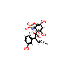 CCC(c1cccc(O)c1)C(O)(O)C1C(O)=CC(O)=C/C1=N\P(=O)(O)O